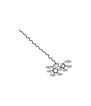 CCCCCCCCCCCCCCCCCCCCCCCC(=O)OC[C@@]1(O[C@H]2O[C@H](CO)[C@@H](O)[C@H](O)[C@H]2O)O[C@H](CO)[C@@H](O)[C@@H]1O